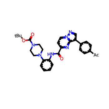 CC(=O)c1ccc(-c2cnn3ccc(C(=O)Nc4ccccc4N4CCN(C(=O)OC(C)(C)C)CC4)nc23)cc1